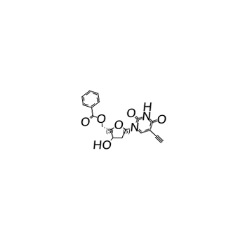 C#Cc1cn([C@@H]2CC(O)[C@H](COC(=O)c3ccccc3)O2)c(=O)[nH]c1=O